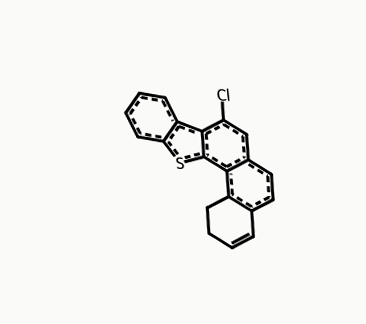 Clc1cc2ccc3c(c2c2sc4ccccc4c12)CCC=C3